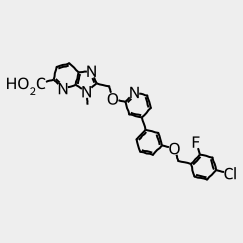 Cn1c(COc2cc(-c3cccc(OCc4ccc(Cl)cc4F)c3)ccn2)nc2ccc(C(=O)O)nc21